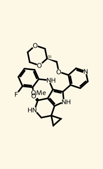 COc1c(F)cccc1Nc1c(-c2ccncc2OC[C@@H]2COCCO2)[nH]c2c1C(=O)NCC21CC1